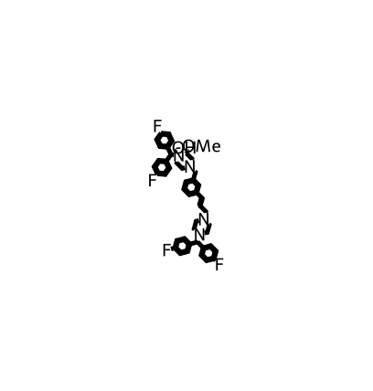 COC1CN(Cc2cccc(C=CCN3CCN(C(c4ccc(F)cc4)c4ccc(F)cc4)CC3)c2)CC[N+]1(O)C(c1ccc(F)cc1)c1ccc(F)cc1